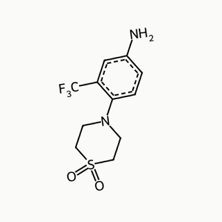 Nc1ccc(N2CCS(=O)(=O)CC2)c(C(F)(F)F)c1